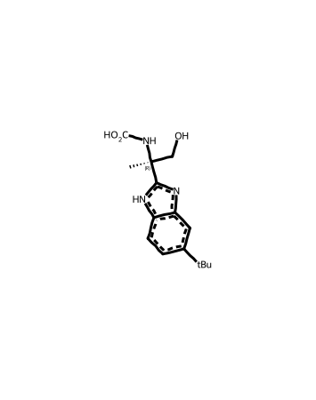 CC(C)(C)c1ccc2[nH]c([C@](C)(CO)NC(=O)O)nc2c1